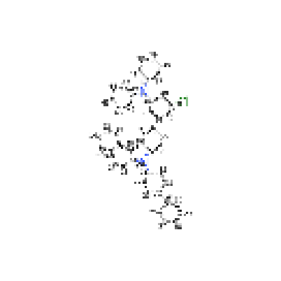 Clc1cc(-c2ccc3c(c2)c2c4ccccc4ccc2n3-c2ccc(-c3ccccc3)cc2)cc(N(c2ccccc2)c2ccccc2)c1